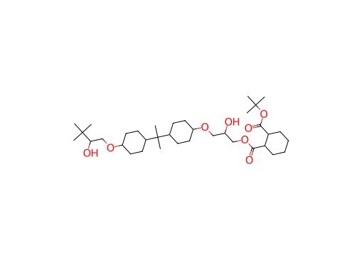 CC(C)(C)OC(=O)C1CCCCC1C(=O)OCC(O)COC1CCC(C(C)(C)C2CCC(OCC(O)C(C)(C)C)CC2)CC1